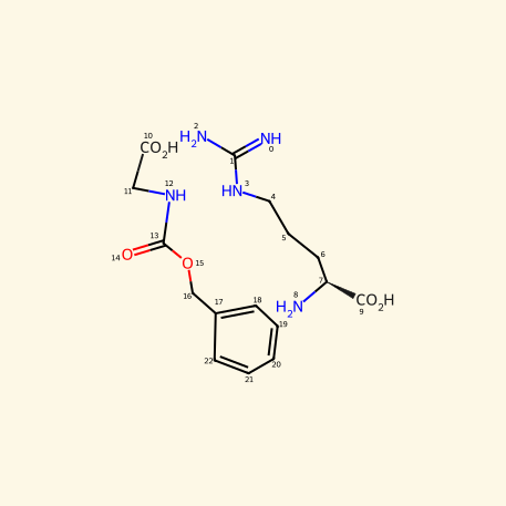 N=C(N)NCCC[C@H](N)C(=O)O.O=C(O)CNC(=O)OCc1ccccc1